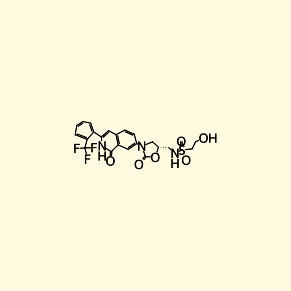 O=C1O[C@@H](CNS(=O)(=O)CCO)CN1c1ccc2cc(-c3ccccc3C(F)(F)F)[nH]c(=O)c2c1